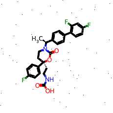 C[C@@H](c1ccc(-c2ccc(F)cc2F)cc1)N1CC[C@](CCNC(=O)O)(c2ccc(F)cc2)OC1=O